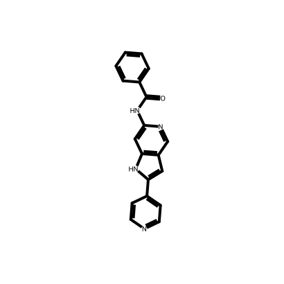 O=C(Nc1cc2[nH]c(-c3ccncc3)cc2cn1)c1ccccc1